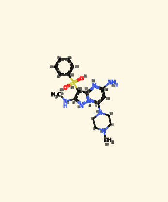 CNc1nn2c(N3CCN(C)CC3)cc(N)nc2c1S(=O)(=O)c1ccccc1